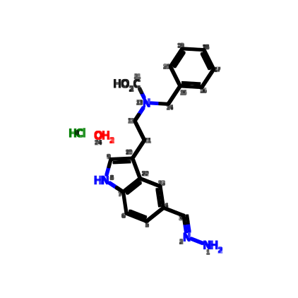 Cl.NN=Cc1ccc2[nH]cc(CCN(Cc3ccccc3)C(=O)O)c2c1.O